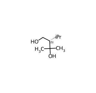 CC(C)[C@@H](CO)C(C)(C)O